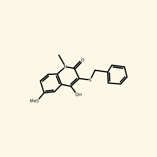 CSc1ccc2c(c1)c(O)c(SCc1ccccc1)c(=O)n2C